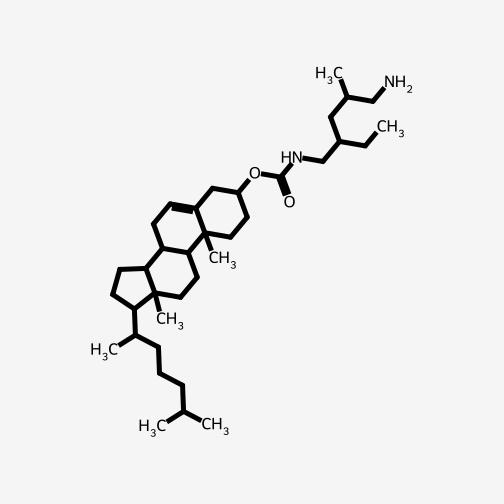 CCC(CNC(=O)OC1CCC2(C)C(=CCC3C2CCC2(C)C(C(C)CCCC(C)C)CCC32)C1)CC(C)CN